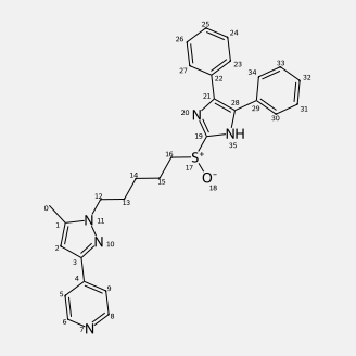 Cc1cc(-c2ccncc2)nn1CCCCC[S+]([O-])c1nc(-c2ccccc2)c(-c2ccccc2)[nH]1